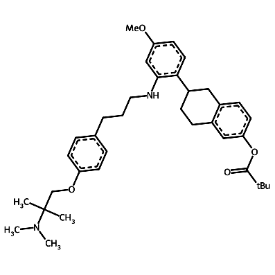 COc1ccc(C2CCc3cc(OC(=O)C(C)(C)C)ccc3C2)c(NCCCc2ccc(OCC(C)(C)N(C)C)cc2)c1